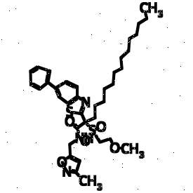 CCCCCCCCCCCCCCC(C(=O)NCc1cc(C)no1)(c1nc2ccc(-c3ccccc3)cc2s1)S(=O)(=O)CCOC